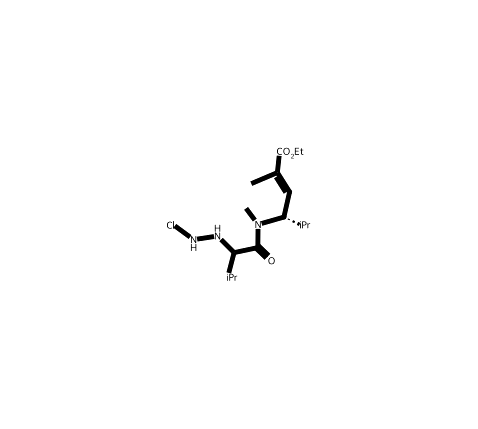 CCOC(=O)/C(C)=C/[C@H](C(C)C)N(C)C(=O)C(NNCl)C(C)C